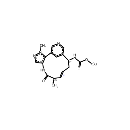 C[C@@H]1/C=C/C[C@H](NC(=O)OC(C)(C)C)c2cncc(c2)-c2c(cnn2C)NC1=O